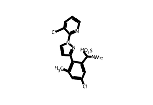 CNC(c1cc(Cl)cc(C)c1-c1ccn(-c2ncccc2Cl)n1)S(=O)(=O)O